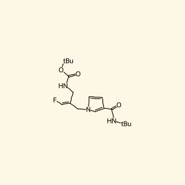 CC(C)(C)NC(=O)c1ccn(C/C(=C/F)CNC(=O)OC(C)(C)C)c1